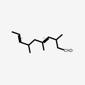 C/C=C/C(C)C/C(C)=C/C(C)C[C]=O